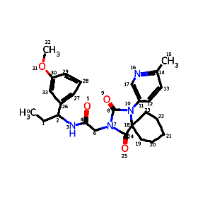 CCC(NC(=O)CN1C(=O)N(c2ccc(C)nc2)C2(CCCCC2)C1=O)c1cccc(OC)c1